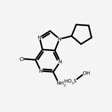 Nc1nc(Cl)c2ncn(C3CCCC3)c2n1.O=S(=O)(O)O